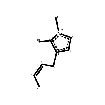 C/C=C\Cc1ccn(C)c1C